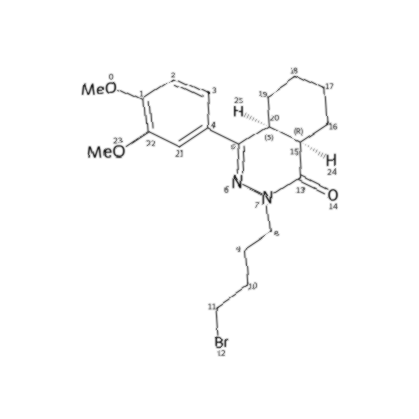 COc1ccc(C2=NN(CCCCBr)C(=O)[C@@H]3CCCC[C@H]23)cc1OC